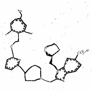 CC(=O)c1cc(F)c(COc2cccc(C3CCN(Cc4nc5ccc(C(=O)O)cc5n4C[C@@H]4CCO4)CC3)n2)c(F)c1